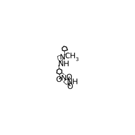 CC(c1ccccc1)N1CCCC(NCc2ccc3c(c2)CN(C2CCC(=O)NC2=O)C3=O)C1